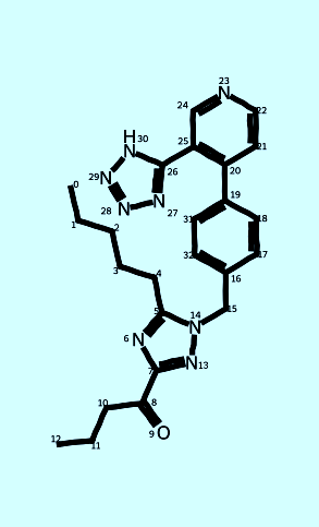 CCCCCc1nc(C(=O)CCC)nn1Cc1ccc(-c2ccncc2-c2nnn[nH]2)cc1